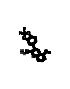 COc1cccc2nc(N)c(-c3ccc4c(c3)OC(F)(F)O4)cc12